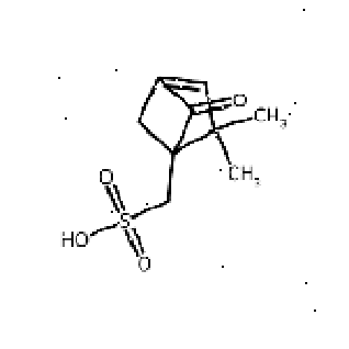 CC1(C)C=C2CC1(CS(=O)(=O)O)C2=O